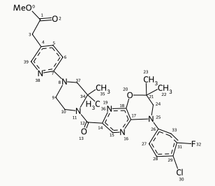 COC(=O)Cc1ccc(N2CCN(C(=O)c3cnc4c(n3)OC(C)(C)CN4c3ccc(Cl)c(F)c3)C(C)(C)C2)nc1